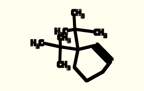 CC(C)(C)C1(C(C)(C)C)C#CCCC1